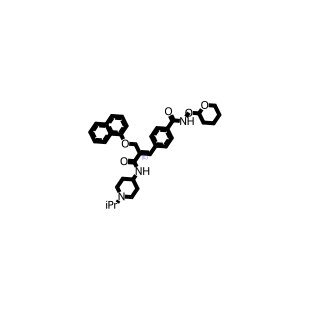 CC(C)N1CCC(NC(=O)/C(=C/c2ccc(C(=O)NOC3CCCCO3)cc2)COc2cccc3ccccc23)CC1